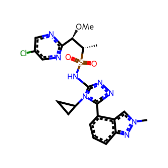 CO[C@H](c1ncc(Cl)cn1)[C@H](C)S(=O)(=O)Nc1nnc(-c2cccc3nn(C)cc23)n1C1CC1